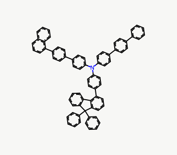 c1ccc(-c2ccc(-c3ccc(N(c4ccc(-c5ccc(-c6cccc7ccccc67)cc5)cc4)c4ccc(-c5cccc6c5-c5ccccc5C6(c5ccccc5)c5ccccc5)cc4)cc3)cc2)cc1